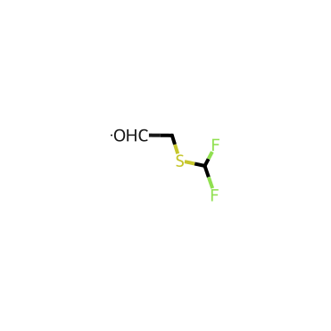 O=[C]CSC(F)F